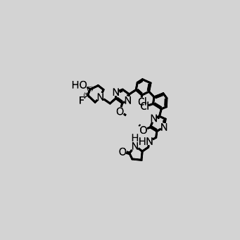 COc1nc(-c2cccc(-c3cccc(-c4cnc(CN5CC[C@H](O)[C@@H](F)C5)c(OC)n4)c3Cl)c2Cl)cnc1CNCC1CCC(=O)N1